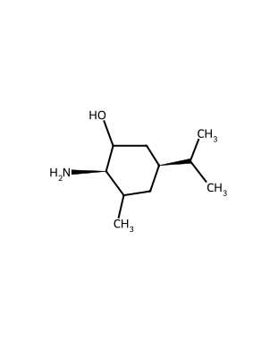 CC(C)[C@H]1CC(C)[C@@H](N)C(O)C1